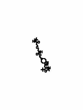 CC(C)(C)NC(=O)CCOCCNC(=O)OCC1C2CCc3nnn(CC(NC(C)(C)C)C(=O)C(C)(C)C)c3CCC21